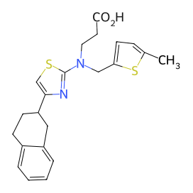 Cc1ccc(CN(CCC(=O)O)c2nc(C3CCc4ccccc4C3)cs2)s1